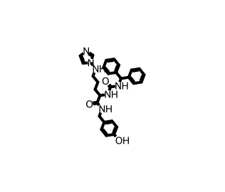 O=C(NC(CCCNn1ccnc1)C(=O)NCc1ccc(O)cc1)NC(c1ccccc1)c1ccccc1